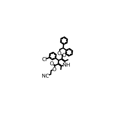 CC1=C(C(=O)OCCC#N)C(c2cccc(Cl)c2)C(C(=O)OCC(c2ccccc2)c2ccccc2)=C(C)N1